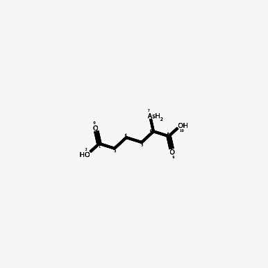 O=C(O)CCCC([AsH2])C(=O)O